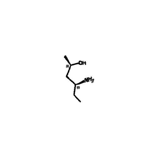 CC[C@H](N)C[C@@H](C)O